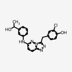 CC(O)c1cccc(Nc2ccc3nnc(Cc4ccc(O)c(Cl)c4)n3n2)c1